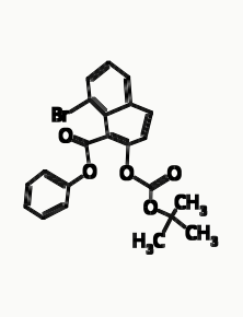 CC(C)(C)OC(=O)Oc1ccc2cccc(Br)c2c1C(=O)Oc1ccccc1